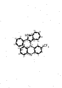 FC(F)(F)c1ccc2c(c1)N(c1c(-c3ccccc3)[nH]c3ccccc13)c1ccccc1S2